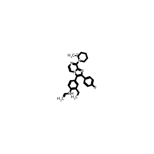 C=CNc1ccc(-c2c(-c3ccc(F)cc3)nc3c(N4CCCC[C@@H]4C)nccn23)cc1CC